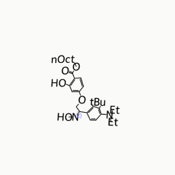 CCCCCCCCOC(=O)c1ccc(OC/C(=N\O)c2ccc(N(CC)CC)c(C(C)(C)C)c2)cc1O